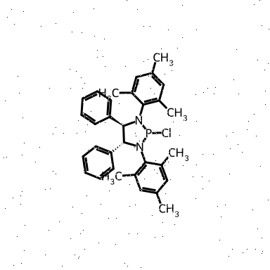 Cc1cc(C)c(N2[C@H](c3ccccc3)[C@@H](c3ccccc3)N(c3c(C)cc(C)cc3C)P2Cl)c(C)c1